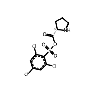 O=C(OS(=O)(=O)c1c(Cl)cc(Cl)cc1Cl)[C@@H]1CCCN1